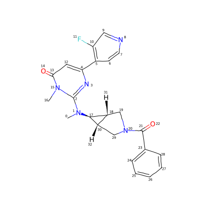 CN(c1nc(-c2ccncc2F)cc(=O)n1C)[C@H]1[C@@H]2CN(C(=O)c3ccccc3)C[C@@H]21